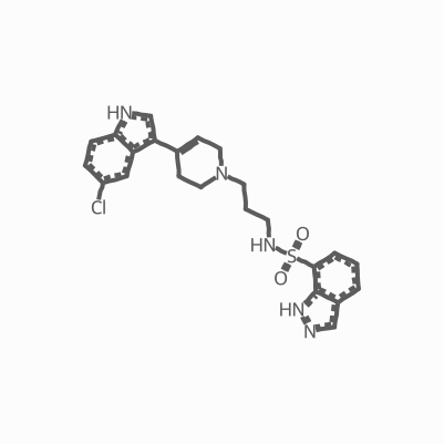 O=S(=O)(NCCCN1CC=C(c2c[nH]c3ccc(Cl)cc23)CC1)c1cccc2cn[nH]c12